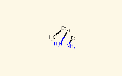 CCN.CCN.[CH2]CC